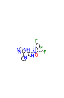 O=C(Nc1cc(-c2[nH]c3ccnnc3c2-c2ccccn2)ccn1)C(CC(F)F)c1ccc(F)cc1